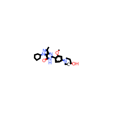 COc1cc(N2CCC(O)CC2)ccc1-c1nc2c(C)nn(C3CCCCC3)c2c(=O)[nH]1